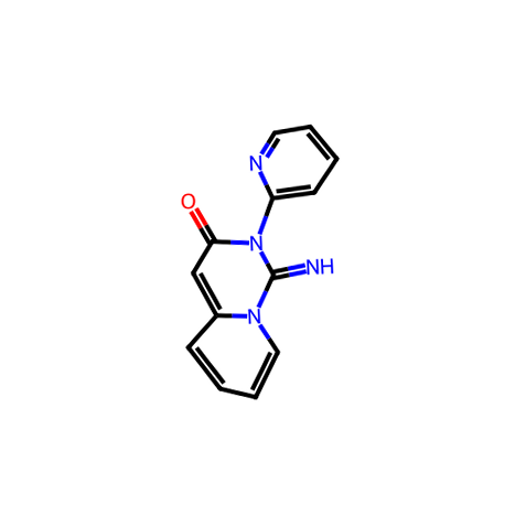 N=c1n(-c2ccccn2)c(=O)cc2ccccn12